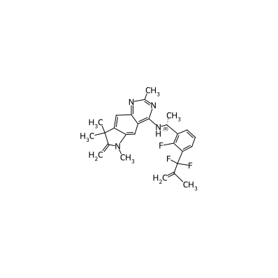 C=C1N(C)c2cc3c(N[C@H](C)c4cccc(C(F)(F)C(=C)C)c4F)nc(C)nc3cc2C1(C)C